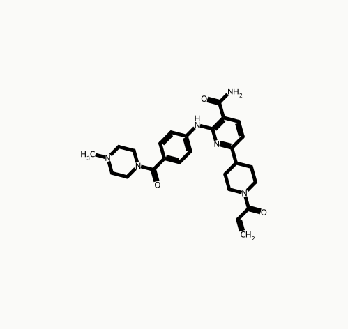 C=CC(=O)N1CCC(c2ccc(C(N)=O)c(Nc3ccc(C(=O)N4CCN(C)CC4)cc3)n2)CC1